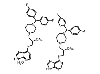 CC(=O)OC(CSc1ncnc2[nH]cnc12)CN1CCCN(C(c2ccc(F)cc2)c2ccc(F)cc2)CC1.CC(=O)OC(CSc1ncnc2[nH]cnc12)CN1CCCN(C(c2ccc(F)cc2)c2ccc(F)cc2)CC1.O